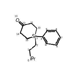 CC(C)CC[Si]1(c2ccccc2)CCC(=O)CC1